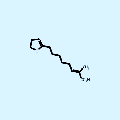 CC(=CCCCCCC1=NCCO1)C(=O)O